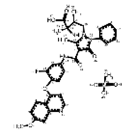 COc1ccc2c(Oc3ccc(NC(=O)c4c(C)n(C[C@H](C)[C@](C)(N)C(=O)O)n(-c5ccccc5)c4=O)cc3F)ccnc2c1.CS(=O)(=O)O